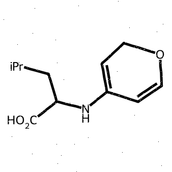 CC(C)CC(NC1=CCOC=C1)C(=O)O